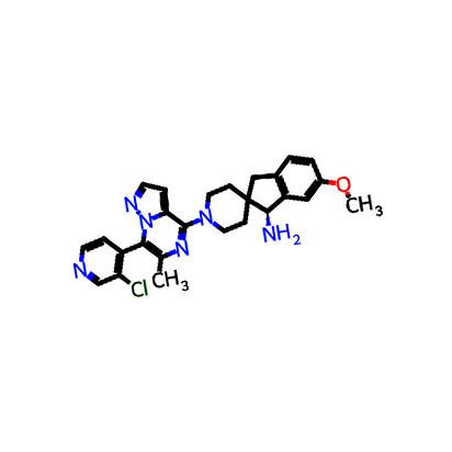 COc1ccc2c(c1)[C@@H](N)C1(CCN(c3nc(C)c(-c4ccncc4Cl)n4nccc34)CC1)C2